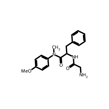 COc1ccc(N(C)C(=O)C(Cc2ccccc2)NC(=O)CN)cc1